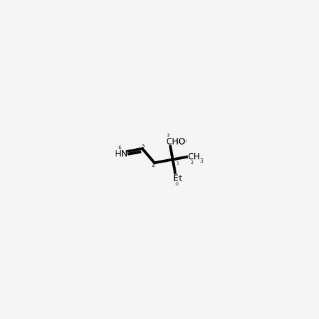 CCC(C)([C]=O)C[C]=N